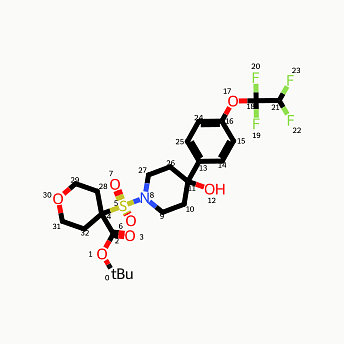 CC(C)(C)OC(=O)C1(S(=O)(=O)N2CCC(O)(c3ccc(OC(F)(F)C(F)F)cc3)CC2)CCOCC1